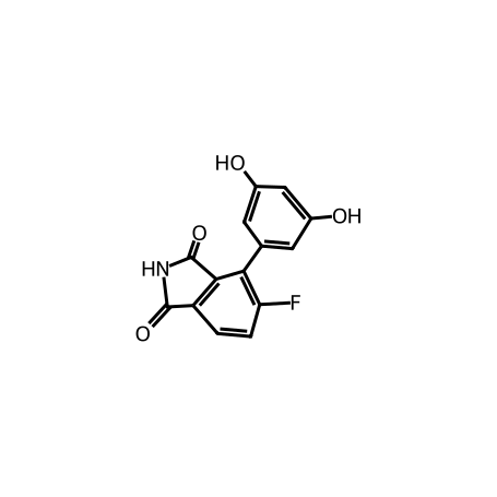 O=C1NC(=O)c2c1ccc(F)c2-c1cc(O)cc(O)c1